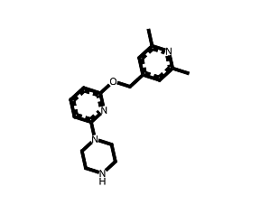 Cc1cc(COc2cccc(N3CCNCC3)n2)cc(C)n1